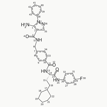 Nc1c(C(=O)NCc2ccc(C(=O)N[C@@H](CCC3CCCCC3)C(=O)Nc3ccc(F)cc3)cc2)cnn1-c1ccccc1